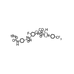 CC(C)(C)OC(=O)Nc1ccc(-c2nc(-c3ccc(CC(NS(=O)(=O)N4CCN(c5ccc(C(F)(F)F)cc5)CC4)C(=O)O)cc3F)no2)cc1